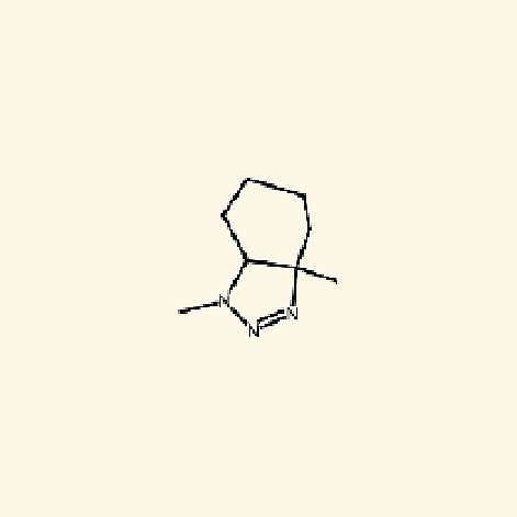 CN1N=NC2(C)CCCCC12